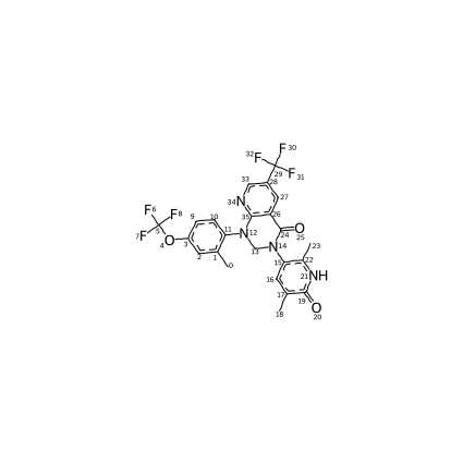 Cc1cc(OC(F)(F)F)ccc1N1CN(c2cc(C)c(=O)[nH]c2C)C(=O)c2cc(C(F)(F)F)cnc21